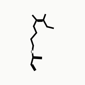 C=CC(=C)CCCCCC(C)=C(C)CC